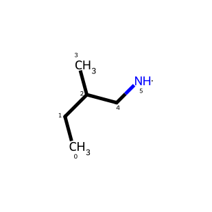 CCC(C)C[NH]